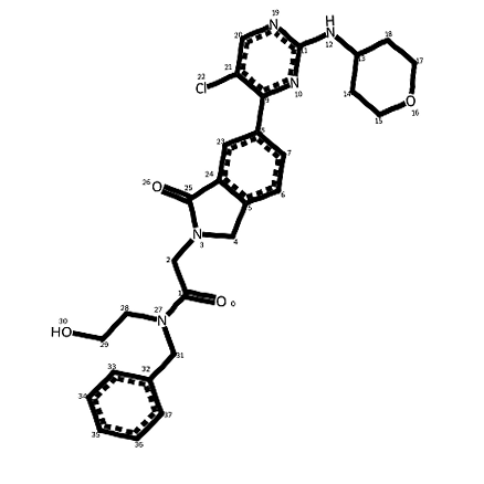 O=C(CN1Cc2ccc(-c3nc(NC4CCOCC4)ncc3Cl)cc2C1=O)N(CCO)Cc1ccccc1